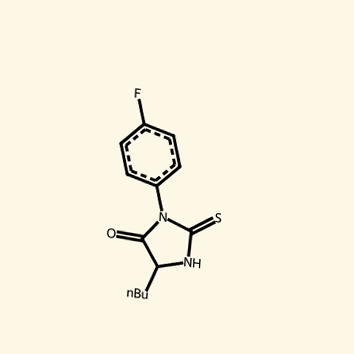 CCCCC1NC(=S)N(c2ccc(F)cc2)C1=O